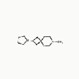 CN1CCC2(CC1)CC(N1CCCC1)C2